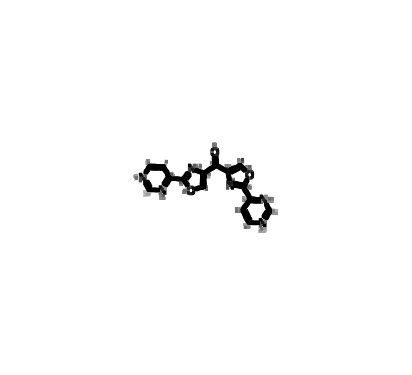 O=C(c1coc(-c2ccncn2)n1)c1coc(-c2ccncn2)n1